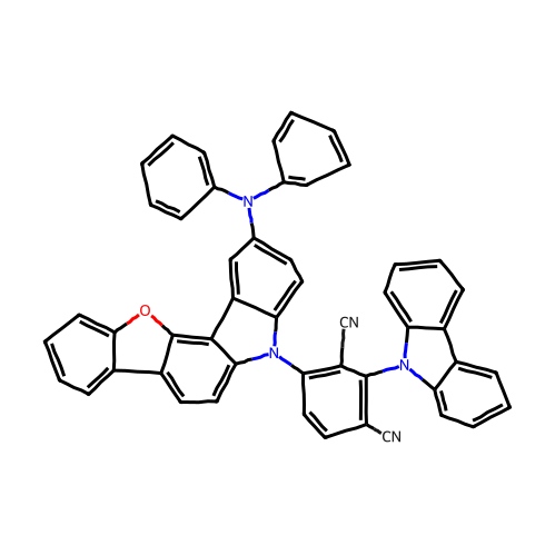 N#Cc1ccc(-n2c3ccc(N(c4ccccc4)c4ccccc4)cc3c3c4oc5ccccc5c4ccc32)c(C#N)c1-n1c2ccccc2c2ccccc21